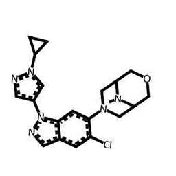 CN1C2COCC1CN(c1cc3c(cnn3-c3cnn(C4CC4)c3)cc1Cl)C2